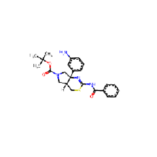 CC(C)(C)OC(=O)N1C[C@H]2CSC(NC(=O)c3ccccc3)=N[C@@]2(c2cccc(N)c2)C1